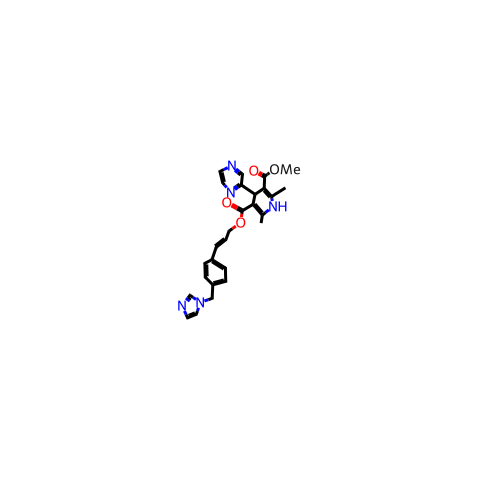 COC(=O)C1=C(C)NC(C)=C(C(=O)OCC=Cc2ccc(Cn3ccnc3)cc2)C1c1cnccn1